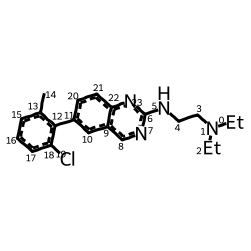 CCN(CC)CCNc1ncc2cc(-c3c(C)cccc3Cl)ccc2n1